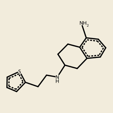 Nc1cccc2c1CCC(NCCc1cccs1)C2